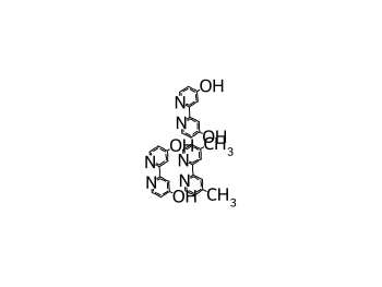 Cc1ccnc(-c2cc(C)ccn2)c1.Oc1ccnc(-c2cc(O)ccn2)c1.Oc1ccnc(-c2cc(O)ccn2)c1